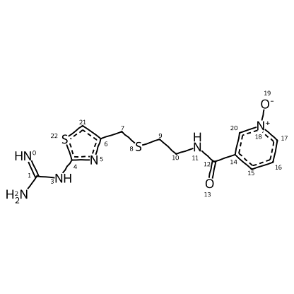 N=C(N)Nc1nc(CSCCNC(=O)c2ccc[n+]([O-])c2)cs1